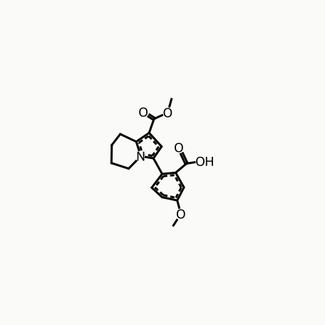 COC(=O)c1cc(-c2ccc(OC)cc2C(=O)O)n2c1CCCC2